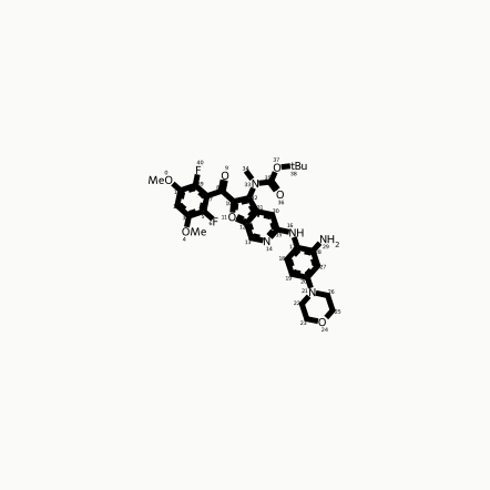 COc1cc(OC)c(F)c(C(=O)c2oc3cnc(Nc4ccc(N5CCOCC5)cc4N)cc3c2N(C)C(=O)OC(C)(C)C)c1F